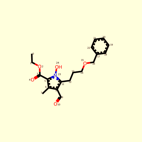 CCOC(=O)c1c(C)c(C=O)c(CCCOCc2ccccc2)n1O